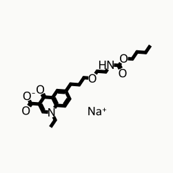 CCCCOC(=O)NCCOCCCc1ccc2c(c1)c(=O)c(C(=O)[O-])cn2CC.[Na+]